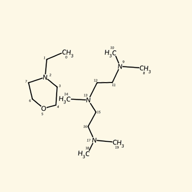 CCN1CCOCC1.CN(C)CCN(C)CCN(C)C